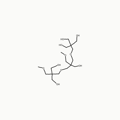 COCC(CO)(CO)COCC(CO)(COC)COCC(CO)(CO)CO